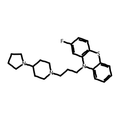 Fc1ccc2c(c1)N(CCCN1CCC(N3CCCC3)CC1)c1ccccc1S2